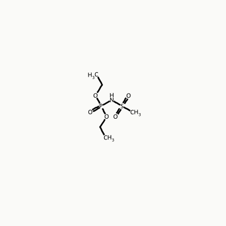 CCOP(=O)(NS(C)(=O)=O)OCC